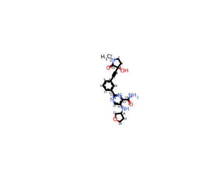 CN1CCC(O)(C#Cc2cccc(-c3ncc(NC4CCOC4)c(C(N)=O)n3)c2)C1=O